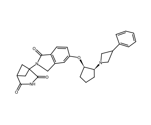 O=C1NC(=O)C2(N3Cc4cc(O[C@@H]5CCC[C@@H]5N5CC(c6ccccc6)C5)ccc4C3=O)CC1C2